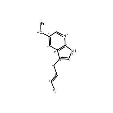 CC(=O)/C=C/Cc1c[nH]c2ncc(OC(C)C)cc12